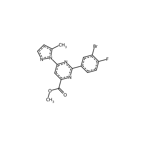 COC(=O)c1cc(-n2nccc2C)nc(-c2ccc(F)c(Br)c2)n1